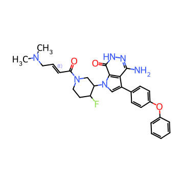 CN(C)C/C=C/C(=O)N1CCC(F)C(n2cc(-c3ccc(Oc4ccccc4)cc3)c3c(N)n[nH]c(=O)c32)C1